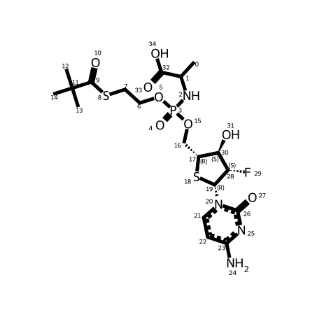 CC(NP(=O)(OCCSC(=O)C(C)(C)C)OC[C@H]1S[C@@H](n2ccc(N)nc2=O)[C@@H](F)[C@@H]1O)C(=O)O